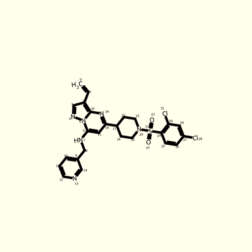 C=Cc1cnn2c(NCc3cccnc3)cc(C3CCN(S(=O)(=O)c4ccc(Cl)cc4Cl)CC3)nc12